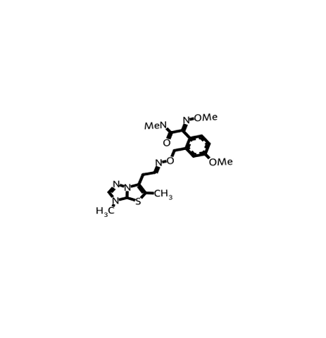 CNC(=O)/C(=N/OC)c1ccc(OC)cc1CON=CCC1=C(C)SC2N(C)C=NN12